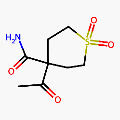 CC(=O)C1(C(N)=O)CCS(=O)(=O)CC1